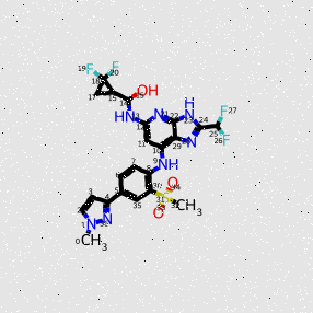 Cn1ccc(-c2ccc(Nc3cc(NC(O)C4CC4(F)F)nc4[nH]c(C(F)F)nc34)c(S(C)(=O)=O)c2)n1